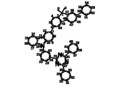 CC1(C)c2ccc(-c3ccc4c(c3)c3ccccc3n4-c3cccc(-c4nc(-c5ccccc5)nc(-c5ccccc5)n4)c3)cc2-c2ccc(-c3ccccc3)cc21